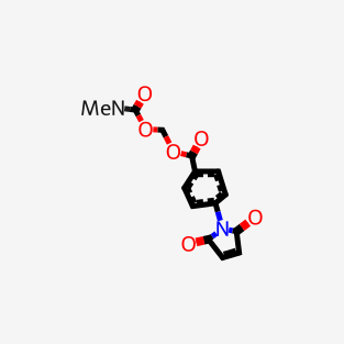 CNC(=O)OCOC(=O)c1ccc(N2C(=O)C=CC2=O)cc1